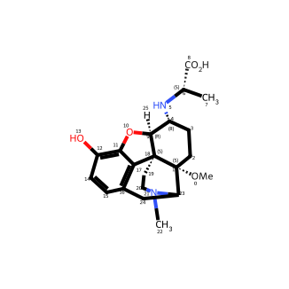 CO[C@@]12CC[C@@H](N[C@@H](C)C(=O)O)[C@@H]3Oc4c(O)ccc5c4[C@@]31CCN(C)C2C5